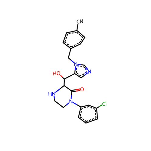 N#Cc1ccc(Cn2cncc2C(O)C2NCCN(c3cccc(Cl)c3)C2=O)cc1